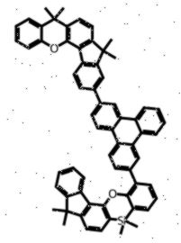 CC1(C)c2ccccc2Oc2c1ccc1c2-c2ccc(-c3ccc4c5ccc(-c6cccc7c6Oc6c(ccc8c6-c6ccccc6C8(C)C)[Si]7(C)C)cc5c5ccccc5c4c3)cc2C1(C)C